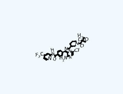 CC1(C(=O)N2CCCC(c3nc(-c4ccc(C(=O)Nc5cc(C(F)(F)F)ccn5)cc4)c4c(N)ncc(Cl)n34)C2)COC1